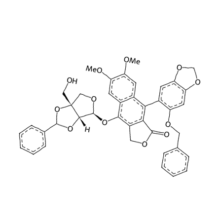 COc1cc2c(O[C@@H]3OC[C@@]4(CO)OC(c5ccccc5)O[C@@H]34)c3c(c(-c4cc5c(cc4OCc4ccccc4)OCO5)c2cc1OC)C(=O)OC3